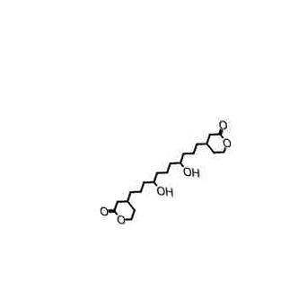 O=C1CC(CCCC(O)CCCC(O)CCCC2CCOC(=O)C2)CCO1